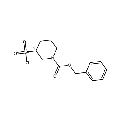 O=C(OCc1ccccc1)N1CCC[C@H](S(=O)(=O)Cl)C1